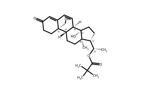 C[C@H](OC(=O)C(C)(C)C)[C@H]1CC[C@]2(O)[C@@H]3C=CC4=CC(=O)CC[C@]4(CO)[C@H]3CC[C@]12C